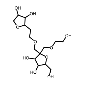 OCCOCC1(COCCC2OCC(O)C2O)OC(CO)C(O)C1O